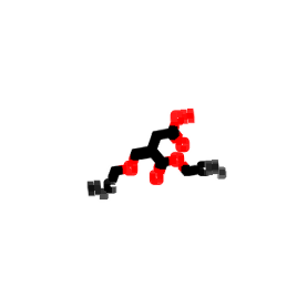 CCOC=C(CC(=O)O)C(=O)OCC